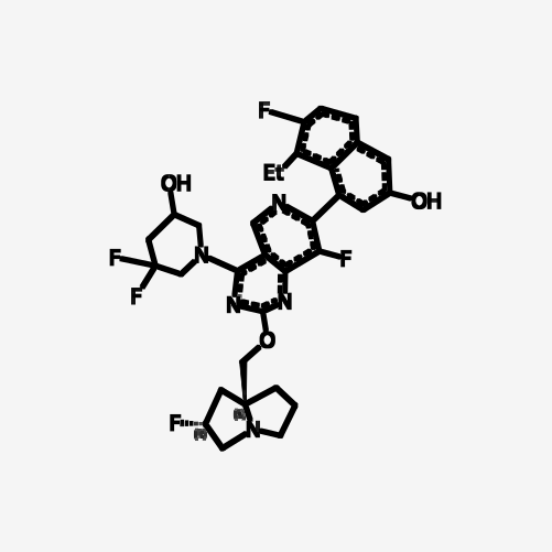 CCc1c(F)ccc2cc(O)cc(-c3ncc4c(N5CC(O)CC(F)(F)C5)nc(OC[C@@]56CCCN5C[C@H](F)C6)nc4c3F)c12